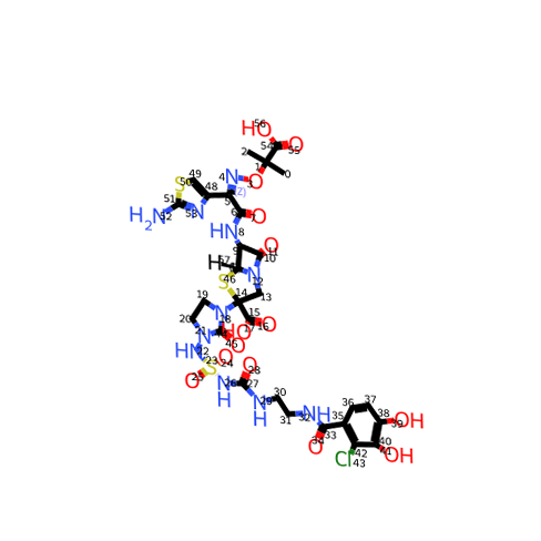 CC(C)(O/N=C(\C(=O)NC1C(=O)N2CC(C(=O)O)(N3CCN(NS(=O)(=O)NC(=O)NCCNC(=O)c4ccc(O)c(O)c4Cl)C3=O)S[C@H]12)c1csc(N)n1)C(=O)O